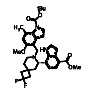 COC(=O)c1ccc([C@@H]2CC3(CCN2Cc2c(OC)cc(C)c4c2ccn4C(=O)OC(C)(C)C)CC(F)(F)C3)c2[nH]ccc12